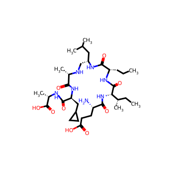 CCC[C@H](NC(=O)[C@@H](NC(=O)[C@@H](N)CCC(=O)O)[C@@H](C)CC)C(=O)N[C@H](CN[C@@H](C)C(=O)N[C@@H](CC1CC1)C(=O)N[C@@H](C)C(=O)O)CC(C)C